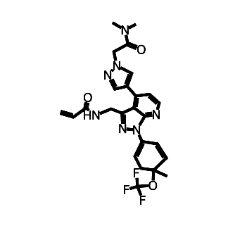 C=CC(=O)NCc1nn(C2=CCC(C)(OC(F)(F)F)C=C2)c2nccc(-c3cnn(CC(=O)N(C)C)c3)c12